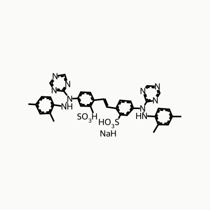 Cc1ccc(NN(c2ccc(C=Cc3ccc(N(Nc4ccc(C)cc4C)c4ncncn4)cc3S(=O)(=O)O)c(S(=O)(=O)O)c2)c2ncncn2)c(C)c1.[NaH]